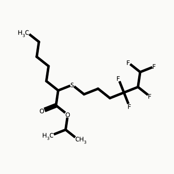 CCCCCC(SCCCC(F)(F)C(F)C(F)F)C(=O)OC(C)C